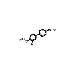 CCCCCCCCCc1ccc(-c2ccc(OCCCC)c(F)c2)cc1